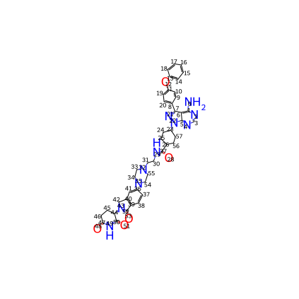 Nc1ncnc2c1c(-c1ccc(Oc3ccccc3)cc1)nn2C1CCC(C(=O)NCCN2CCN(c3ccc4c(c3)CN(C3CCC(=O)NC3=O)C4=O)CC2)CC1